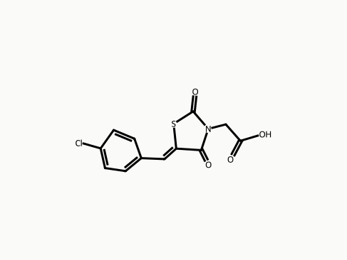 O=C(O)CN1C(=O)S/C(=C\c2ccc(Cl)cc2)C1=O